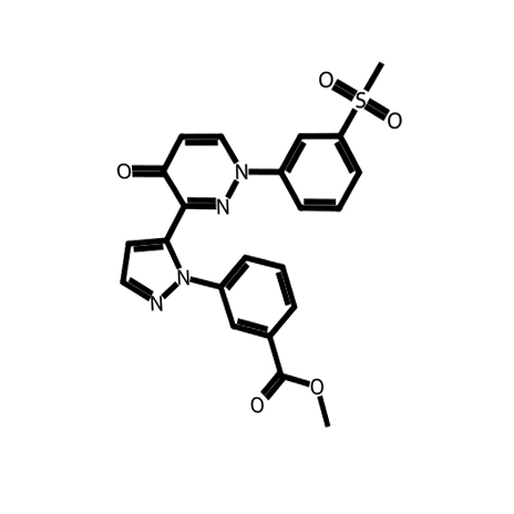 COC(=O)c1cccc(-n2nccc2-c2nn(-c3cccc(S(C)(=O)=O)c3)ccc2=O)c1